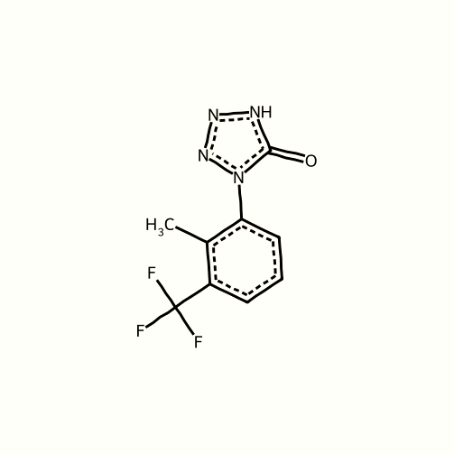 Cc1c(-n2nn[nH]c2=O)cccc1C(F)(F)F